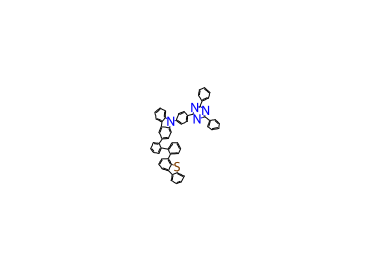 c1ccc(-c2nc(-c3ccccc3)nc(-c3ccc(-n4c5ccccc5c5cc(-c6ccccc6-c6ccccc6-c6cccc7c6sc6ccccc67)ccc54)cc3)n2)cc1